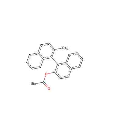 CC(=O)Oc1ccc2ccccc2c1-c1c(OC(=O)C(C)(C)C)ccc2ccccc12